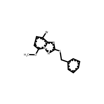 COc1ccc(Br)c2nc(SCc3ccccc3)nn12